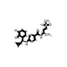 C[C@H](/C=C/S(C)(=O)=O)NC(=O)c1cnc(N[C@H](c2cccc(F)c2Cl)C2CC2)cn1